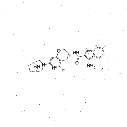 Cc1ccc2c(N)c(C(=O)N[C@H]3COc4cc(N5CC6CCC(C5)N6)nc(F)c4C3)sc2n1